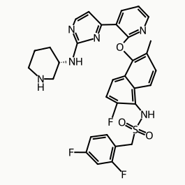 Cc1ccc2c(NS(=O)(=O)Cc3ccc(F)cc3F)c(F)ccc2c1Oc1ncccc1-c1ccnc(N[C@H]2CCCNC2)n1